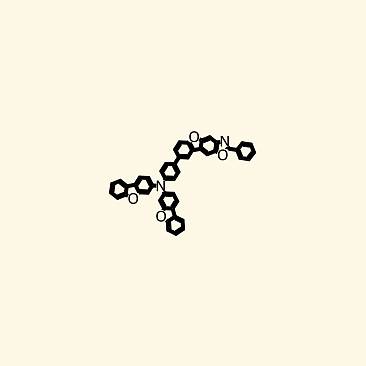 c1ccc(-c2nc3cc4oc5ccc(-c6ccc(N(c7ccc8c(c7)oc7ccccc78)c7ccc8c(c7)oc7ccccc78)cc6)cc5c4cc3o2)cc1